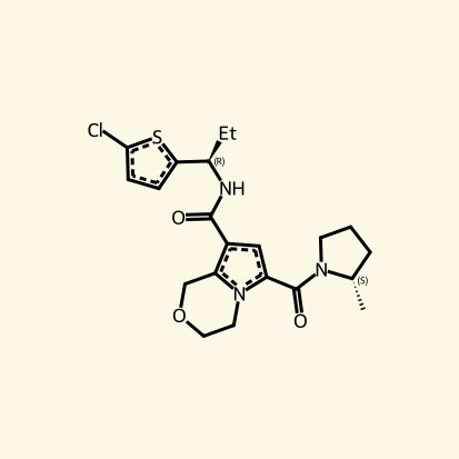 CC[C@@H](NC(=O)c1cc(C(=O)N2CCC[C@@H]2C)n2c1COCC2)c1ccc(Cl)s1